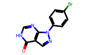 O=c1[nH]cnc2c1cnn2-c1ccc(Br)cc1